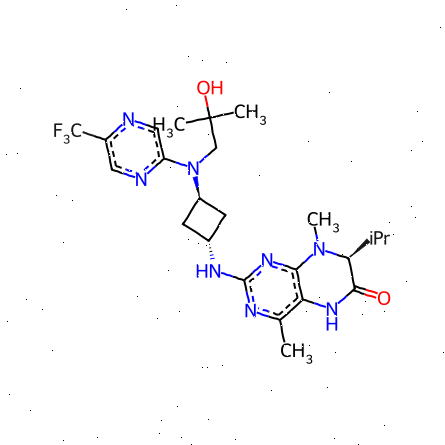 Cc1nc(N[C@H]2C[C@H](N(CC(C)(C)O)c3cnc(C(F)(F)F)cn3)C2)nc2c1NC(=O)[C@H](C(C)C)N2C